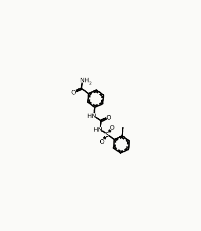 Cc1ccccc1S(=O)(=O)NC(=O)Nc1cccc(C(N)=O)c1